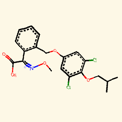 CO/N=C(/C(=O)O)c1ccccc1COc1cc(Cl)c(OCC(C)C)c(Cl)c1